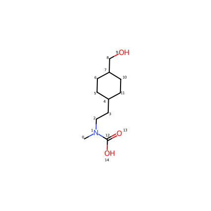 CN(CCC1CCC(CO)CC1)C(=O)O